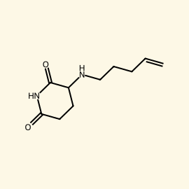 C=CCCCNC1CCC(=O)NC1=O